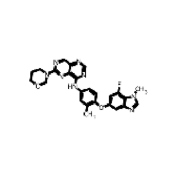 Cc1cc(Nc2ncnc3cnc(N4CCCOC4)nc23)ccc1Oc1cc(F)c2c(c1)ncn2C